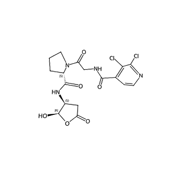 O=C1C[C@H](NC(=O)[C@@H]2CCCN2C(=O)CNC(=O)c2ccnc(Cl)c2Cl)[C@H](O)O1